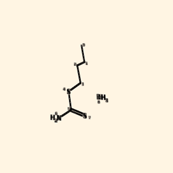 CCCCSC(N)=S.[BiH3]